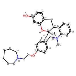 CCN(Cc1ccc(OCCN2CCCCCC2)cc1)c1ccccc1C1Cc2ccc(O)cc2OC1(C)C